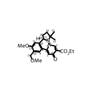 CCOC(=O)c1cn2c(cc1=O)-c1cc(COC)c(OC)cc1[C@H]1CCC(C)(C)N12